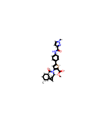 COC(=O)c1sc(-c2ccc(NC(=O)c3ccn(C)n3)cc2)cc1N(CC1CC1)C(=O)[C@H]1CC[C@H](C)CC1